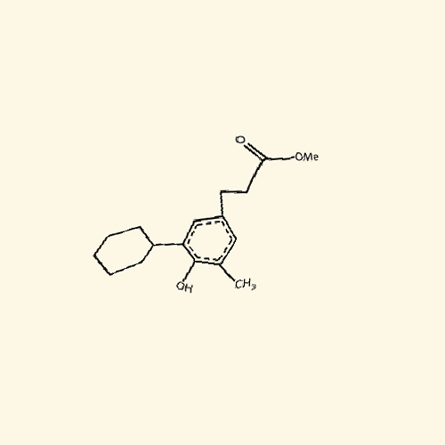 COC(=O)CCc1cc(C)c(O)c(C2CCCCC2)c1